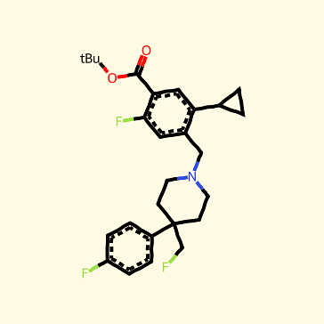 CC(C)(C)OC(=O)c1cc(C2CC2)c(CN2CCC(CF)(c3ccc(F)cc3)CC2)cc1F